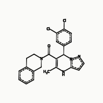 CC1=C(C(=O)N2CCc3ccccc3C2)C(c2ccc(Cl)c(Cl)c2)n2nccc2N1